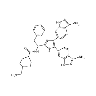 NCC1CCC(C(=O)NC(Cc2ccccc2)c2nc(-c3ccc4c(N)n[nH]c4c3)c(-c3ccc4c(N)n[nH]c4c3)[nH]2)CC1